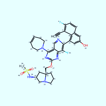 C#Cc1c(F)ccc2cc(O)cc(-c3ncc4c(N5CCC=CCC5)nc(OC[C@@]56CCCN5C[C@@H](NS(C)(=O)=O)C6)nc4c3F)c12